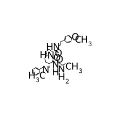 CC[C@H](N)C(=O)N[C@@H]1C(=O)N2[C@@H](CC[C@@H]1CN(CC)Cc1ccccc1)CC[C@H]2C(=O)NCCc1ccc(OC)cc1